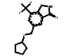 O=C1NCc2c1cc(CNC1CCCC1)cc2C(F)(F)F